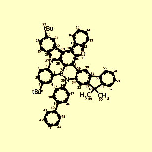 CC(C)(C)c1ccc2c(c1)B1c3c(c4oc5ccccc5c4c4c5cc(C(C)(C)C)ccc5n-2c34)-c2cc3c(cc2N1c1ccc(-c2ccccc2)cc1)C(C)(C)c1ccccc1-3